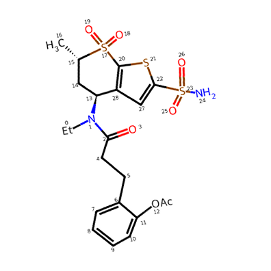 CCN(C(=O)CCc1ccccc1OC(C)=O)[C@H]1C[C@H](C)S(=O)(=O)c2sc(S(N)(=O)=O)cc21